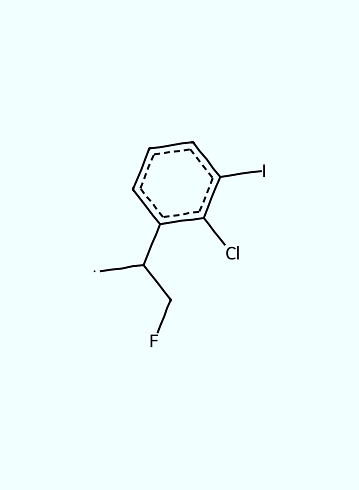 [CH2]C(CF)c1cccc(I)c1Cl